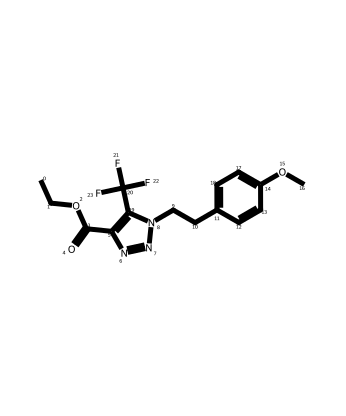 CCOC(=O)c1nnn(CCc2ccc(OC)cc2)c1C(F)(F)F